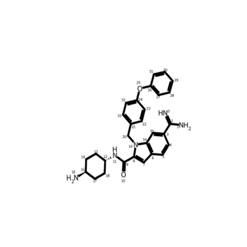 N=C(N)c1ccc2cc(C(=O)N[C@H]3CC[C@H](N)CC3)n(Cc3ccc(Oc4ccccc4)cc3)c2c1